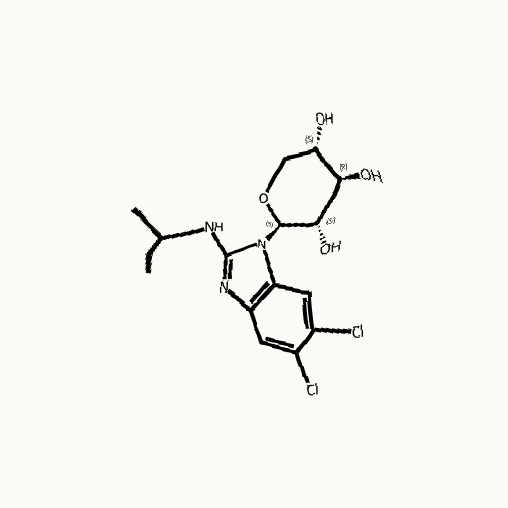 CC(C)Nc1nc2cc(Cl)c(Cl)cc2n1[C@H]1OC[C@H](O)[C@@H](O)[C@@H]1O